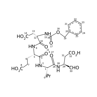 CC(C)[C@H](NC(=O)[C@H](CCC(=O)O)NC(=O)[C@H](CC(=O)O)NC(=O)OCc1ccccc1)C(=O)N[C@H](C=O)CC(=O)O